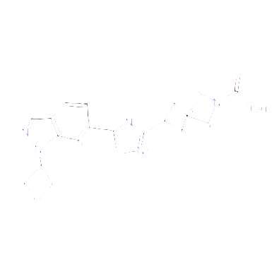 CC(C)(C)C(=O)N1CC2(CC(c3noc(-c4ccc5cnn(C6COC6)c5c4)n3)C2)C1